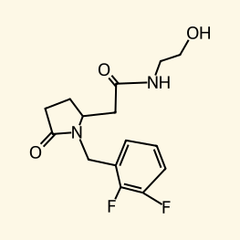 O=C(CC1CCC(=O)N1Cc1cccc(F)c1F)NCCO